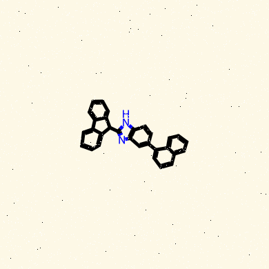 c1ccc2c(c1)-c1ccccc1C2c1nc2cc(-c3cccc4ccccc34)ccc2[nH]1